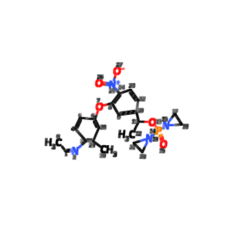 C/C=N\c1ccc(Oc2cc(C(C)OP(=O)(N3CC3)N3CC3)ccc2[N+](=O)[O-])cc1C